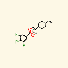 C=CC1CCC(C23COC(c4cc(F)c(F)c(F)c4)(OC2)OC3)CC1